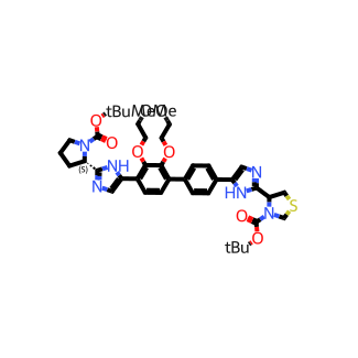 COCCOc1c(-c2ccc(-c3cnc(C4CSCN4C(=O)OC(C)(C)C)[nH]3)cc2)ccc(-c2cnc([C@@H]3CCCN3C(=O)OC(C)(C)C)[nH]2)c1OCCOC